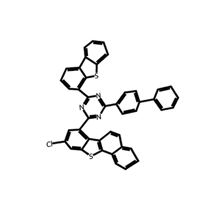 Clc1cc(-c2nc(-c3ccc(-c4ccccc4)cc3)nc(-c3cccc4c3sc3ccccc34)n2)c2c(c1)sc1c3ccccc3ccc12